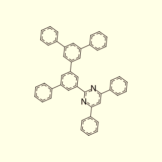 c1ccc(-c2cc(-c3ccccc3)cc(-c3cc(-c4ccccc4)cc(-c4nc(-c5ccccc5)cc(-c5ccccc5)n4)c3)c2)cc1